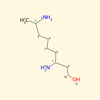 CC(N)CCCCC(N)CCO